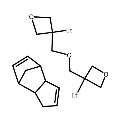 C1=CC2C3C=CC(C3)C2C1.CCC1(COCC2(CC)COC2)COC1